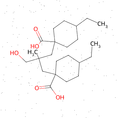 CCC1CCC(CC(C)(CO)CC2(C(=O)O)CCC(CC)CC2)(C(=O)O)CC1